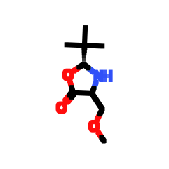 COCC1N[C@@H](C(C)(C)C)OC1=O